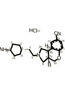 CC(=O)N[C@H]1CC[C@H](CCN2C[C@H]3COc4ccc(C#N)cc4[C@@H]3C2)CC1.Cl